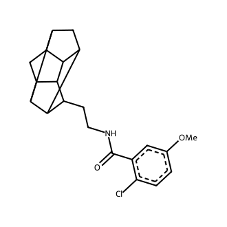 COc1ccc(Cl)c(C(=O)NCCC2C3C4CC5C6CC(C53)C2C64)c1